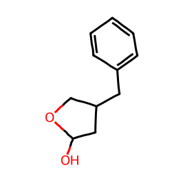 OC1CC(Cc2ccccc2)CO1